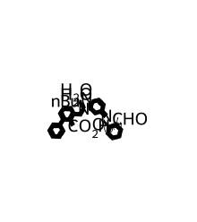 CCCCc1nc2c(n1Cc1cccc(-c3ccccc3)c1C(=O)O)CC(=NC(=O)[C@@H]1CCCC[C@H]1C=O)C=C2.O.O